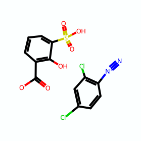 N#[N+]c1ccc(Cl)cc1Cl.O=C([O-])c1cccc(S(=O)(=O)O)c1O